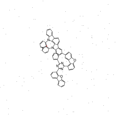 c1ccc(-c2nc(-c3cccc4c3oc3ccccc34)nc(-c3cccc4oc5ccc(-c6ccc7c(c6)c6ccc8c9ccccc9n(-c9ccccc9)c8c6n7-c6ccccc6)cc5c34)n2)cc1